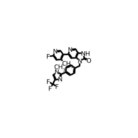 Cc1cc(F)ncc1-c1cc2c(cn1)[nH]c(=O)n2Cc1ccc(-c2nc(C(F)(F)F)cn2C)cc1